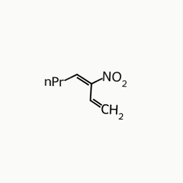 C=C/C(=C\CCC)[N+](=O)[O-]